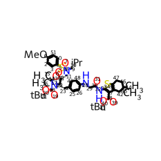 COc1ccc(S(=O)(=O)N(CC(C)C)C[C@H]2OC(C)(C)N(C(=O)OC(C)(C)C)[C@H]2Cc2ccc(NCC(=O)Nc3sc4c(c3C(=O)OC(C)(C)C)CC(C)(C)CC4)cc2)cc1